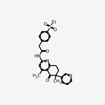 CCS(=O)(=O)c1ccc(CC(=O)Nc2cc(C)c3c(n2)CCC(C)(c2cccnc2)C3=O)cc1